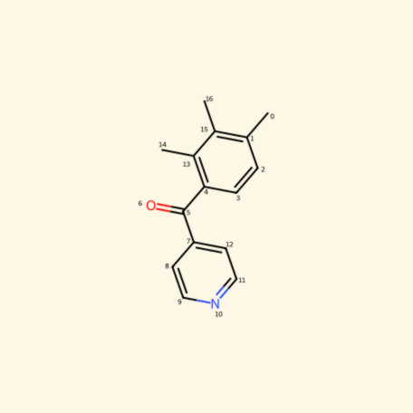 Cc1ccc(C(=O)c2ccncc2)c(C)c1C